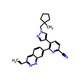 C=Cc1cc2ccc(-c3nc(C#N)ccc3-c3cnn(CC4(C)CCCC4)c3)cc2nn1